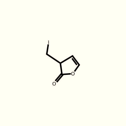 O=C1OC=CC1CI